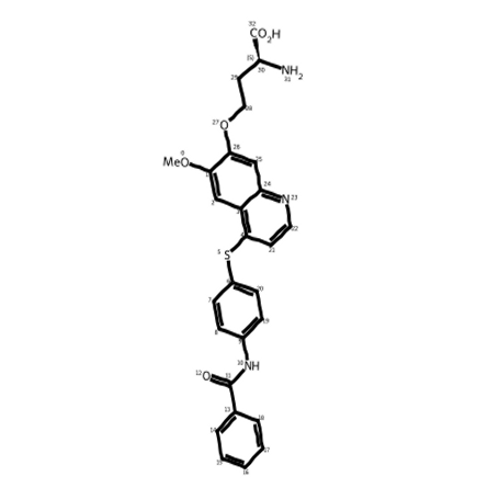 COc1cc2c(Sc3ccc(NC(=O)c4ccccc4)cc3)ccnc2cc1OCC[C@H](N)C(=O)O